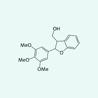 COc1cc(C2Oc3ccccc3C2CO)cc(OC)c1OC